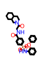 O=C(NCC(=O)N1CCC2CCCCC2C1)c1ccc(S(=O)(=O)Nc2ccccc2Oc2ccccc2)cc1